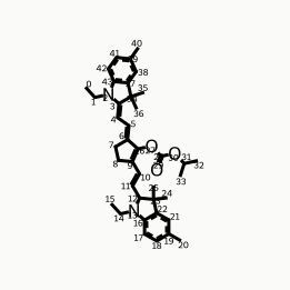 CCN1/C(=C/C=C2\CCC(/C=C/C3N(CC)c4ccc(C)cc4C3(C)C)=C2OC(=O)OC(C)C)C(C)(C)c2cc(C)ccc21